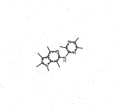 Cc1nc(C)c(Nc2nc(C)c3c(C)c(C)n(C)c3c2C)nc1C